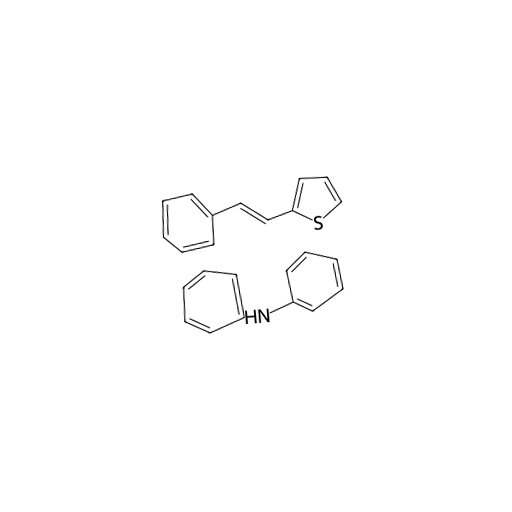 C(=Cc1cccs1)c1ccccc1.c1ccc(Nc2ccccc2)cc1